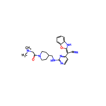 CN(C)CC(=O)N1CCC(CNc2nccc(C(C#N)=C3Nc4ccccc4O3)n2)CC1